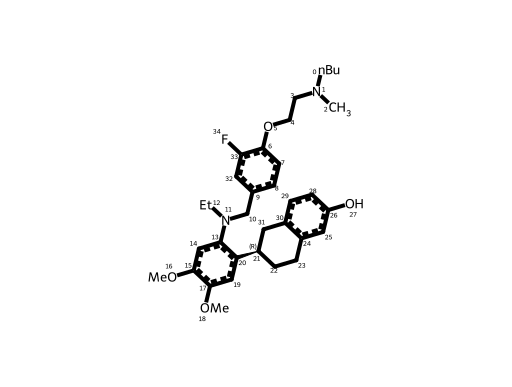 CCCCN(C)CCOc1ccc(CN(CC)c2cc(OC)c(OC)cc2[C@@H]2CCc3cc(O)ccc3C2)cc1F